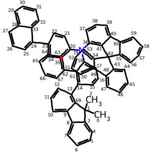 CC1(C)c2ccccc2-c2cccc(-c3cccc(N(c4ccc(-c5cccc6ccccc56)cc4)c4cccc5c4C4(c6ccccc6-c6ccccc64)c4ccccc4-5)c3-c3ccccc3)c21